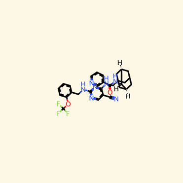 N#Cc1cnc(NCc2ccccc2OC(F)(F)F)nc1NC[C@]12CC3C[C@H](C1)[C@@H](NC(=O)c1cccnc1)[C@@H](C3)C2